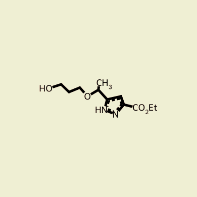 CCOC(=O)c1cc(C(C)OCCCO)[nH]n1